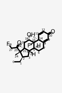 CC[C@@H]1C[C@H]2[C@@H]3CCC4=CC(=O)C=C[C@]4(C)[C@@]3(F)[C@@H](O)C[C@]2(C)[C@@]1(C)C(=O)CF